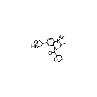 CC(=O)N1c2ccc(C3CNOC3)cc2N(C(=O)C2CCCO2)C[C@@H]1C